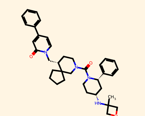 CC1(N[C@@H]2CCN(C(=O)N3CC[C@@H](Cn4ccc(-c5ccccc5)cc4=O)C4(CCCC4)C3)[C@H](c3ccccc3)C2)COC1